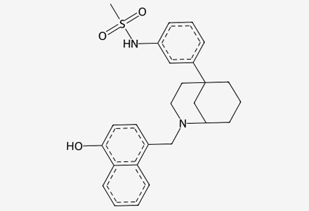 CS(=O)(=O)Nc1cccc(C23CCCC(C2)N(Cc2ccc(O)c4ccccc24)CC3)c1